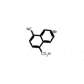 Br.N#Cc1ccc(C(=O)O)c2ccccc12